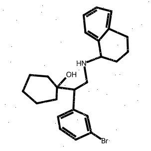 OC1(C(CNC2CCCc3ccccc32)c2cccc(Br)c2)CCCCC1